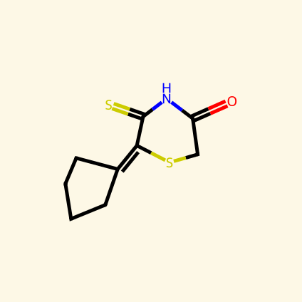 O=C1CSC(=C2CCCC2)C(=S)N1